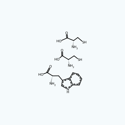 N[C@@H](CS)C(=O)O.N[C@@H](CS)C(=O)O.N[C@@H](Cc1c[nH]c2ccccc12)C(=O)O